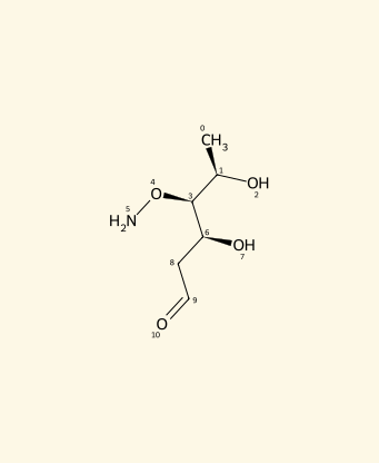 C[C@@H](O)[C@H](ON)[C@@H](O)CC=O